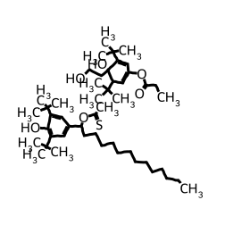 CCC(=O)OC1=CC(C(C)(C)C)C(O)(CCO)C(C(C)(C)C)=C1.CCCCCCCCCCCCCC(OC(C)=S)c1cc(C(C)(C)C)c(O)c(C(C)(C)C)c1